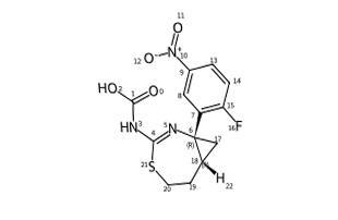 O=C(O)NC1=N[C@]2(c3cc([N+](=O)[O-])ccc3F)C[C@@H]2CCS1